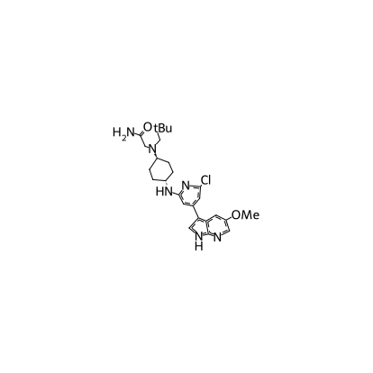 COc1cnc2[nH]cc(-c3cc(Cl)nc(N[C@H]4CC[C@H](N(CC(N)=O)CC(C)(C)C)CC4)c3)c2c1